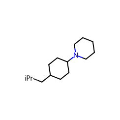 CC(C)CC1CCC(N2CCCCC2)CC1